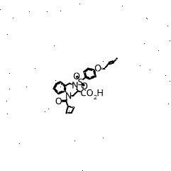 CC#CCOc1ccc(S(=O)(=O)N2Cc3ccccc3N(C(=O)C3CCC3)CC2C(=O)O)cc1